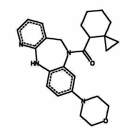 O=C(C1CCCCC12CC2)N1Cc2cccnc2Nc2ccc(N3CCOCC3)cc21